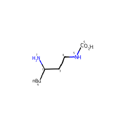 CCCCC(N)CCNC(=O)O